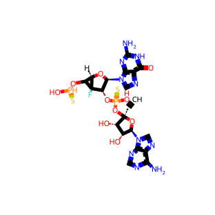 C#C[C@]1(OP(O)(=S)O[C@H]2[C@H](n3cnc4c(=O)[nH]c(N)nc43)O[C@@H]3C(O[PH](O)=S)[C@]32F)O[C@@H](n2cnc3c(N)ncnc32)[C@H](O)[C@@H]1O